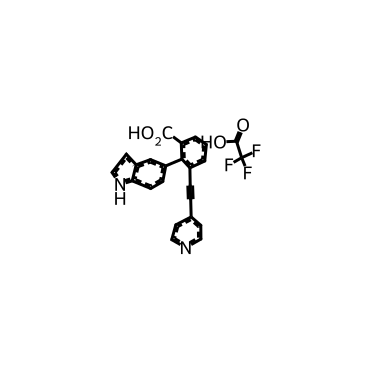 O=C(O)C(F)(F)F.O=C(O)c1cccc(C#Cc2ccncc2)c1-c1ccc2[nH]ccc2c1